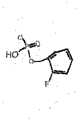 O=P(O)(Cl)Oc1ccccc1F